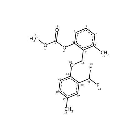 COC(=O)Oc1cccc(C)c1COc1ccc(C)cc1C(F)F